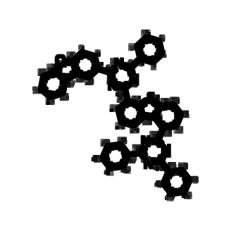 c1ccc(-c2nc(-c3ccc4oc5ccccc5c4c3)nc(-c3cccc4c3sc3cccc(-c5nc(-c6ccccc6)nc(-c6ccccc6)n5)c34)n2)cc1